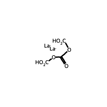 O=C(O)OC(=O)OC(=O)O.[La].[La]